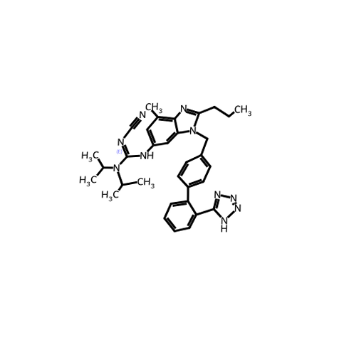 CCCc1nc2c(C)cc(N/C(=N\C#N)N(C(C)C)C(C)C)cc2n1Cc1ccc(-c2ccccc2-c2nnn[nH]2)cc1